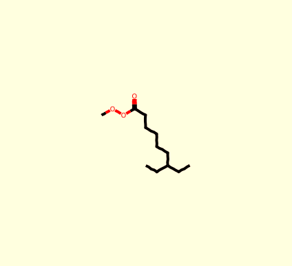 CCC(CC)CCCCCC(=O)OOC